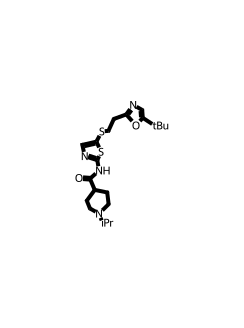 CC(C)N1CCC(C(=O)Nc2ncc(SCCc3ncc(C(C)(C)C)o3)s2)CC1